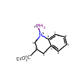 CCOC(=O)C1Cc2ccccc2N(P)C1